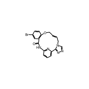 O=C1Nc2cccc(n2)-c2nncn2C/C=C/COc2ccc(Br)cc21